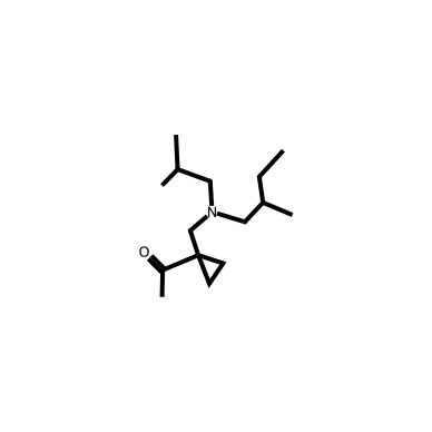 CCC(C)CN(CC(C)C)CC1(C(C)=O)CC1